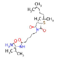 C=C(C)CCCC(C)(C)SC1CC(=O)N(CCCCCC(=O)N[C@H](C(N)=O)C(C)C)C1=O